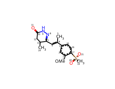 COc1cc(C(C)=CC2=NNC(=O)CC2C)ccc1S(C)(=O)=O